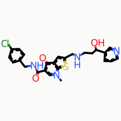 Cn1cc(C(=O)NCc2ccc(Cl)cc2)c(=O)c2cc(CNCCC(O)c3cccnc3)sc21